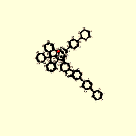 c1ccc(-c2ccc(-c3ccc4c(c3)sc3ccc(-c5nc(-c6ccc(C7CCCCC7)cc6)nc(-c6ccccc6C6(c7ccccc7)c7ccccc7-c7ccccc76)n5)cc34)cc2)cc1